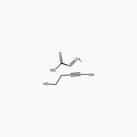 C=CC(=O)O.OC#CCCO